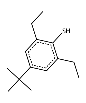 CCc1cc(C(C)(C)C)cc(CC)c1S